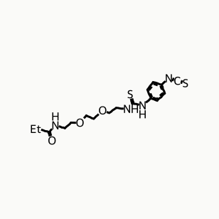 CCC(=O)NCCOCCOCCNC(=S)Nc1ccc(N=C=S)cc1